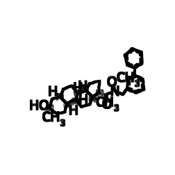 CON(Cc1cccc(-c2ccccc2)c1)C(=O)[C@H]1CC[C@H]2[C@@H]3CC[C@@H]4C[C@](C)(O)CC[C@@H]4[C@H]3CC[C@]12C